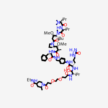 CCNC(=O)C1CCN(C(=O)CCOCCOCCC(=O)N[C@@H](C(C)C)C(O)N[C@@H](CCCNC(N)=O)C(=O)Nc2ccc(CNC(=O)[C@H](Cc3ccccc3)NC(=O)[C@H](C)[C@@H](OC)[C@@H]3CCCN3C(=O)C[C@@H](OC)[C@H]([C@@H](C)CC)N(C)C(=O)[C@@H](NC(=O)[C@H](C(C)C)N(C)C)C(C)C)cc2)C(C)C1